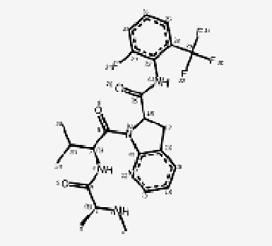 CN[C@@H](C)C(=O)N[C@H](C(=O)N1c2ncccc2CC1C(=O)Nc1c(F)cccc1C(F)(F)F)C(C)C